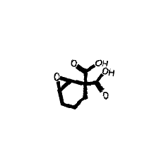 O=C(O)C1(C(=O)O)CCCC2OC21